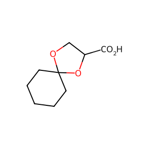 O=C(O)C1COC2(CCCCC2)O1